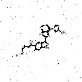 C=N/C=N\C=C(/C)c1cc2c(-c3nc4c(-n5cnc(C)c5)ccnc4[nH]3)n[nH]c2cc1F